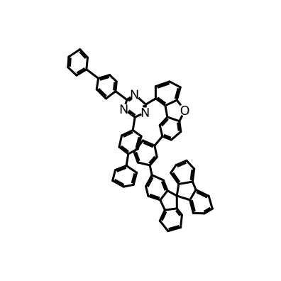 c1ccc(-c2ccc(-c3nc(-c4ccc(-c5ccccc5)cc4)nc(-c4cccc5oc6ccc(-c7cccc(-c8ccc9c(c8)C8(c%10ccccc%10-c%10ccccc%108)c8ccccc8-9)c7)cc6c45)n3)cc2)cc1